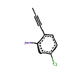 CC#Cc1[c]cc(Cl)cc1I